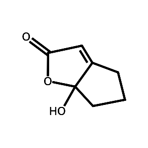 O=C1C=C2CCCC2(O)O1